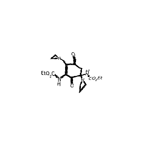 CCOC(=O)NC1=C(N2CC2)C(=O)CC(NC(=O)OCC)(N2CC2)C1=O